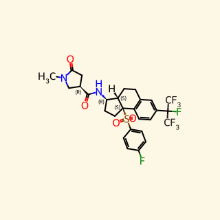 CN1C[C@H](C(=O)N[C@@H]2CC[C@@]3(S(=O)(=O)c4ccc(F)cc4)c4ccc(C(F)(C(F)(F)F)C(F)(F)F)cc4CC[C@@H]23)CC1=O